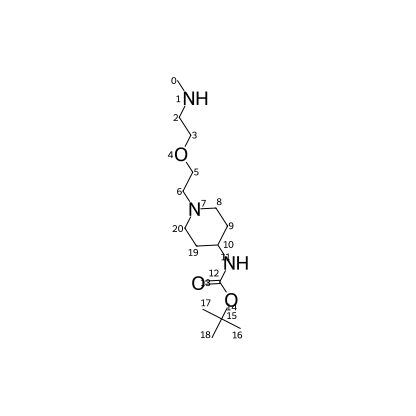 CNCCOCCN1CCC(NC(=O)OC(C)(C)C)CC1